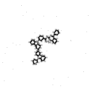 N=C(/N=c1/nc(-c2ccccc2)c2ccccc2[nH]1)c1cccc(-n2c3ccccc3c3cc(-c4ccc5c(c4)c4ccccc4n5-c4cccnc4)ccc32)c1